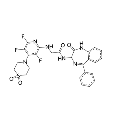 O=C(CNc1nc(F)c(F)c(N2CCS(=O)(=O)CC2)c1F)NC1N=C(c2ccccc2)c2ccccc2NC1=O